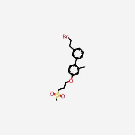 Cc1cc(OCCCS(C)(=O)=O)ccc1-c1cccc(CCBr)c1